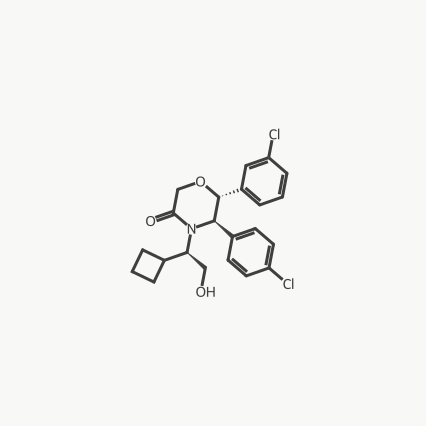 O=C1CO[C@H](c2cccc(Cl)c2)[C@@H](c2ccc(Cl)cc2)N1[C@@H](CO)C1CCC1